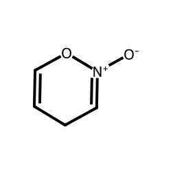 [O-][N+]1=CCC=CO1